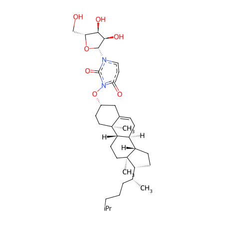 CC(C)CCC[C@@H](C)[C@H]1CC[C@H]2[C@@H]3CC=C4C[C@@H](On5c(=O)ccn([C@@H]6O[C@H](CO)[C@@H](O)[C@H]6O)c5=O)CC[C@]4(C)[C@H]3CC[C@]12C